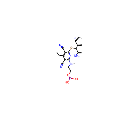 C=C(N)C(Sc1nc(N(C)CCOP(O)O)c(C#N)c(CC)c1C#N)C(=C)/C=C\C